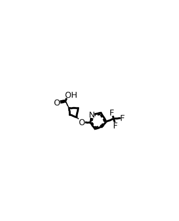 O=C(O)[C@H]1C[C@H](Oc2ccc(C(F)(F)F)cn2)C1